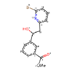 COC(=O)c1cccc(C(O)Cc2cccc(Br)n2)c1